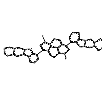 Fc1cc(-c2cccc3c2oc2cc4ccccc4cc23)c2ccc3c(F)cc(-c4cccc5c4oc4cc6ccccc6cc45)c4ccc1c2c34